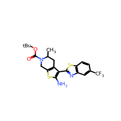 CC1Cc2c(sc(N)c2-c2nc3cc(C(F)(F)F)ccc3s2)CN1C(=O)OC(C)(C)C